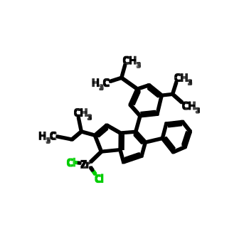 CCC(C)C1=Cc2c(ccc(-c3ccccc3)c2-c2cc(C(C)C)cc(C(C)C)c2)[CH]1[Zr]([Cl])[Cl]